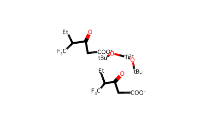 CC(C)(C)[O][Ti+2][O]C(C)(C)C.CCC(C(=O)CC(=O)[O-])C(F)(F)F.CCC(C(=O)CC(=O)[O-])C(F)(F)F